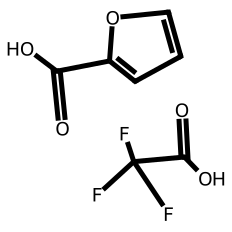 O=C(O)C(F)(F)F.O=C(O)c1ccco1